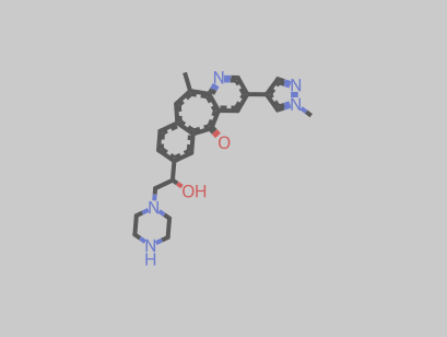 Cc1cc2ccc(C(O)CN3CCNCC3)cc2c(=O)c2cc(-c3cnn(C)c3)cnc12